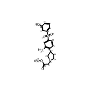 Cc1cc(S(=O)(=O)c2cccc(O)c2)ccc1C1CCN(CC(=O)OC(C)(C)C)C1